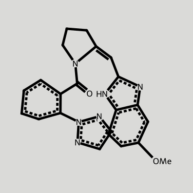 COc1ccc2[nH]c(/C=C3/CCCN3C(=O)c3ccccc3-n3nccn3)nc2c1